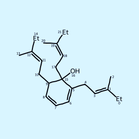 CCC(C)=CCC1=CC=CC(CC=C(C)CC)C1(O)CC=C(C)CC